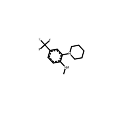 CNc1ccc(C(F)(F)F)cc1N1CCCCC1